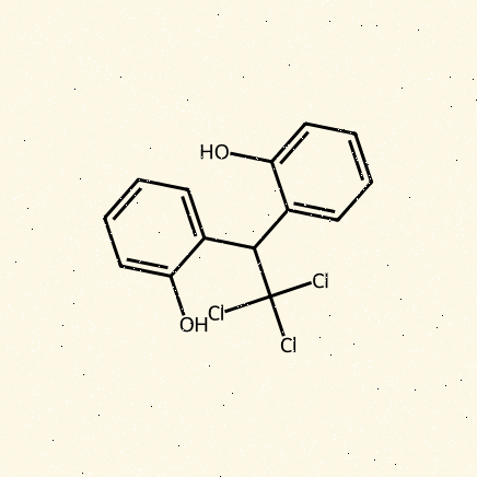 Oc1ccccc1C(c1ccccc1O)C(Cl)(Cl)Cl